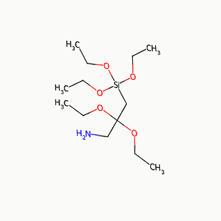 CCOC(CN)(C[Si](OCC)(OCC)OCC)OCC